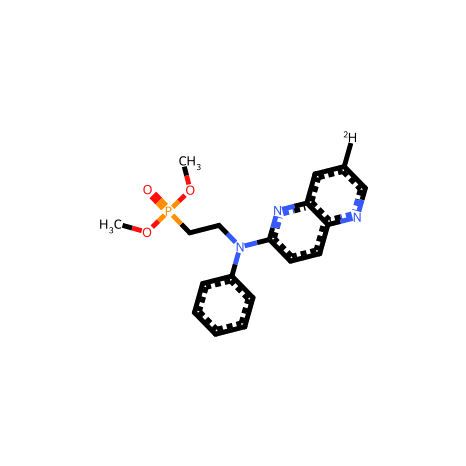 [2H]c1cnc2ccc(N(CCP(=O)(OC)OC)c3ccccc3)nc2c1